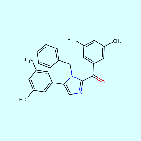 Cc1cc(C)cc(C(=O)c2ncc(-c3cc(C)cc(C)c3)n2Cc2ccccc2)c1